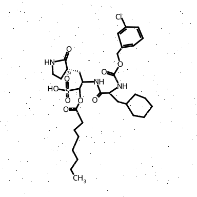 CCCCCCCC(=O)OC(C(C[C@@H]1CCNC1=O)NC(=O)C(CC1CCCCC1)NC(=O)OCc1cccc(Cl)c1)S(=O)(=O)O